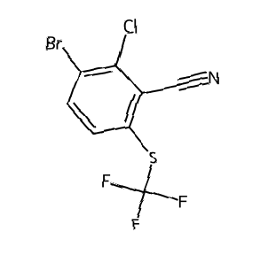 N#Cc1c(SC(F)(F)F)ccc(Br)c1Cl